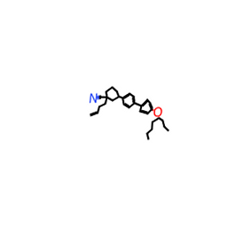 C=CCCC1(C#N)CCCC(c2ccc(-c3ccc(OC(CCC)CCCC)cc3)cc2)C1